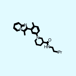 Cc1ccc(N2CCCC(C(=O)NCCC(C)C)C2)cc1-c1nc2ccccn2c1C